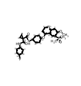 COc1cc2nccc(Oc3ccc(NC(=O)C4(C(=O)Nc5ccc(F)cc5)CC4)cc3)c2cc1P(C)(C)=O